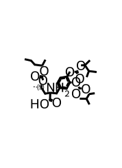 CCCC(C)OC(=O)O[C@@H](C)CC(N)(Cc1ccc(OC(=O)OC(C)C(C)C)c(OC(=O)OC(C)C(C)C)c1)C(=O)O